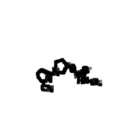 CC(C)(C)N/[N+]([O-])=N/O[C@@H]1CCN(c2cccc(C#N)n2)C1